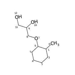 CC1CCCCC1OCC(O)CO